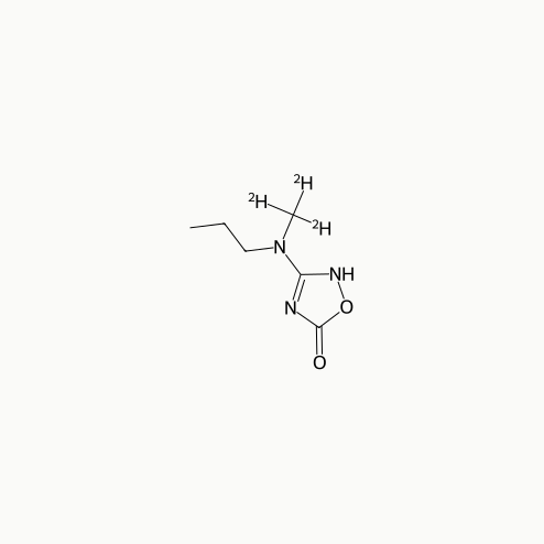 [2H]C([2H])([2H])N(CCC)c1nc(=O)o[nH]1